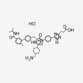 Cc1ccc(C(=O)NC(C)C)cc1-c1ccc(C[C@H](NC(=O)C2CCC(CN)CC2)C(=O)Nc2ccc(-c3nc(CCC(=O)O)n[nH]3)cc2)cc1.Cl